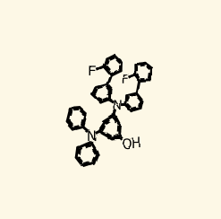 Oc1cc(N(c2ccccc2)c2ccccc2)cc(N(c2cccc(-c3ccccc3F)c2)c2cccc(-c3ccccc3F)c2)c1